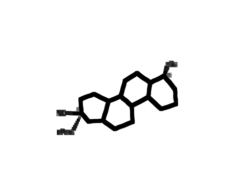 CCCCC[C@]1(C#N)CCC2C(CCC3C2CCC2C3CCC[C@@H]2CCCC)C1